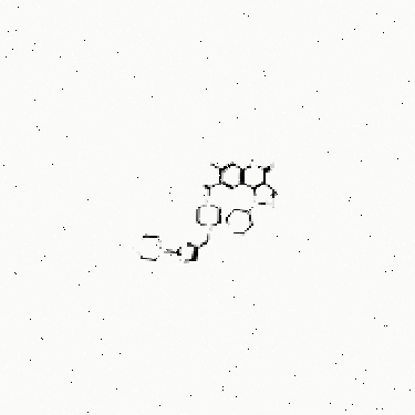 Cc1cc2[nH]c(=O)c3cnn(C4CCOCC4)c3c2cc1C(=O)N1CCN(Cc2cnc(N3CCOCC3)s2)CC1